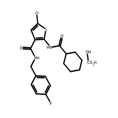 O=C(NCc1ccc(F)cc1)c1cc(Cl)sc1NC(=O)C1CCCCC1.O=C(O)O